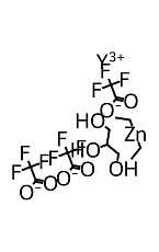 C[CH2][Zn][CH2]C.O=C([O-])C(F)(F)F.O=C([O-])C(F)(F)F.O=C([O-])C(F)(F)F.OCC(O)CO.[Y+3]